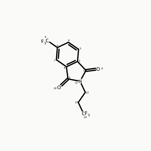 O=C1c2ccc(C(F)(F)F)cc2C(=O)N1CCC(F)(F)F